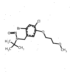 COCCCOc1cc(CN(N=O)C(C)(C)C)c(Br)cc1Cl